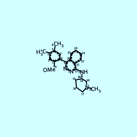 COc1cc(C)c(C)cc1-c1nnc(N[C@@H]2CCCN(C)C2)c2ccccc12